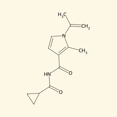 C=C(C)n1ccc(C(=O)NC(=O)C2CC2)c1C